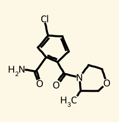 CC1COCCN1C(=O)c1ccc(Cl)cc1C(N)=O